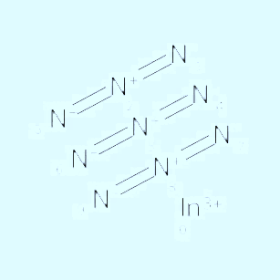 [In+3].[N-]=[N+]=[N-].[N-]=[N+]=[N-].[N-]=[N+]=[N-]